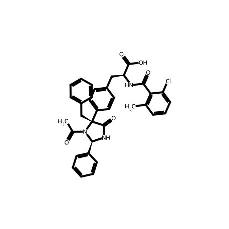 CC(=O)N1[C@H](c2ccccc2)NC(=O)[C@@]1(Cc1ccccc1)c1ccc(C[C@H](NC(=O)c2c(C)cccc2Cl)C(=O)O)cc1